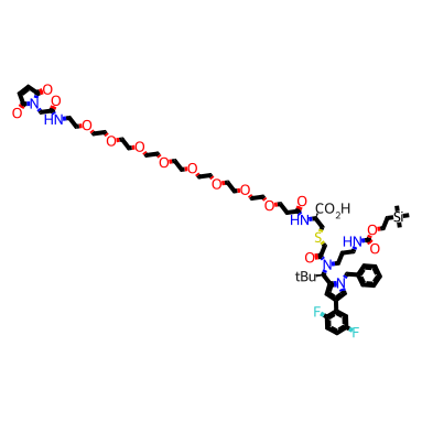 CC(C)(C)[C@H](c1cc(-c2cc(F)ccc2F)cn1Cc1ccccc1)N(CCCNC(=O)OCC[Si](C)(C)C)C(=O)CSC[C@H](NC(=O)CCOCCOCCOCCOCCOCCOCCOCCOCCNC(=O)CN1C(=O)C=CC1=O)C(=O)O